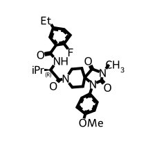 CCc1ccc(F)c(C(=O)N[C@@H](C(=O)N2CCC3(CC2)C(=O)N(C)C(=O)N3c2ccc(OC)cc2)C(C)C)c1